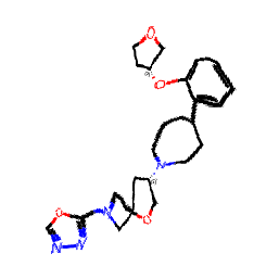 c1ccc(C2CCN([C@@H]3COC4(C3)CN(c3nnco3)C4)CC2)c(O[C@@H]2CCOC2)c1